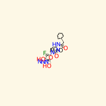 COC(=O)[C@H](Cc1ccccc1)Nc1ccn(C2O[C@@](CO)(N=[N+]=[N-])C(O)[C@@H]2F)c(=O)n1